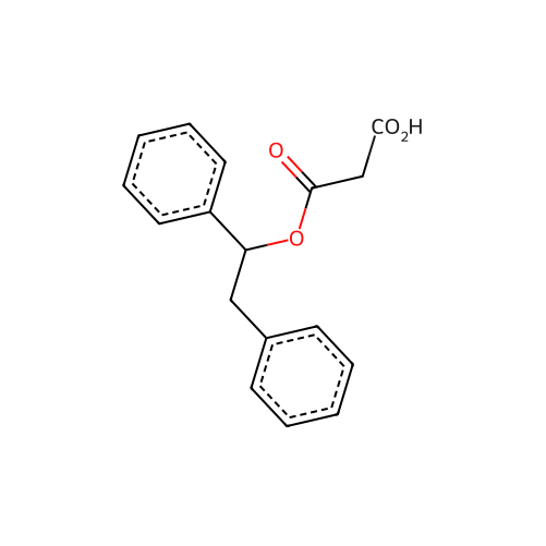 O=C(O)CC(=O)OC(Cc1ccccc1)c1ccccc1